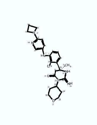 C[C@@]1(c2cccc(Nc3ccc(N4CCC4)nc3)c2Cl)CC(=O)N(C2CCOCC2)C(=N)N1